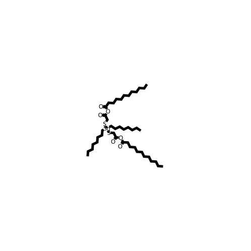 CCCCCCCCCCCC(=O)OC(=O)C[S][Sn]([CH2]CCCCCCC)([CH2]CCCCCCC)[S]CC(=O)OC(=O)CCCCCCCCCCC